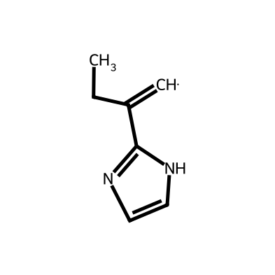 [CH]=C(CC)c1ncc[nH]1